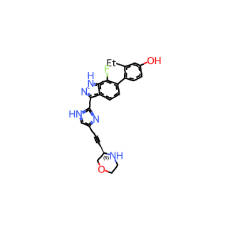 CCc1cc(O)ccc1-c1ccc2c(-c3nc(C#C[C@@H]4COCCN4)c[nH]3)n[nH]c2c1F